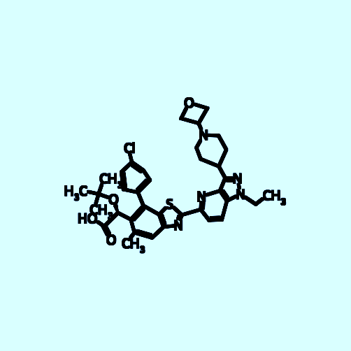 CCn1nc(C2CCN(C3COC3)CC2)c2nc(-c3nc4cc(C)c([C@H](OC(C)(C)C)C(=O)O)c(-c5ccc(Cl)cc5)c4s3)ccc21